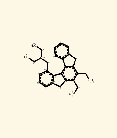 CCc1c(CC)c2c(c3c1Cc1ccccc1-3)-c1c(cccc1CN(CC)CC)C2